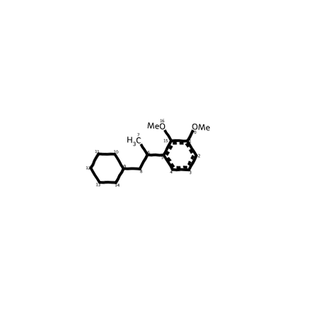 COc1cccc(C(C)CC2CCCCC2)c1OC